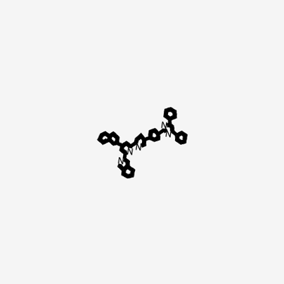 c1ccc(-c2cc(-c3ccccc3)nc(-c3ccc(-c4ccc(-c5cc(-c6ccc7ccccc7c6)cc(-c6cc7ccccc7cn6)n5)nc4)cc3)n2)cc1